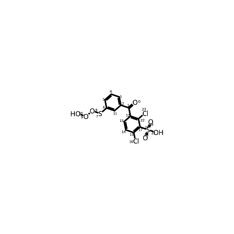 O=C(c1cccc(SOOO)c1)c1ccc(Cl)c(S(=O)(=O)O)c1Cl